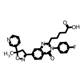 CC1(c2cccnc2)CC(c2ccc3c(=O)n(-c4ccc(F)cc4)c(CCCCC(=O)O)nc3c2)=NO1